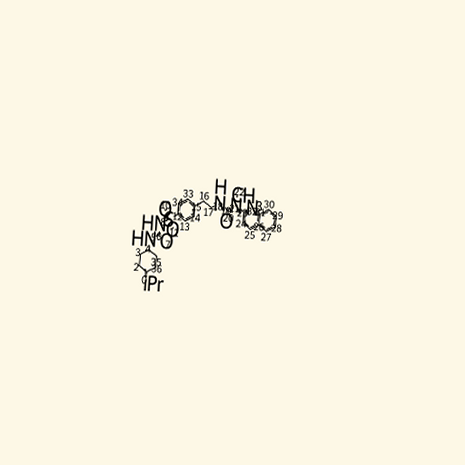 CC(C)C1CCC(NC(=O)NS(=O)(=O)c2ccc(CCNC(=O)N(C)c3ccc4ccccc4n3)cc2)CC1